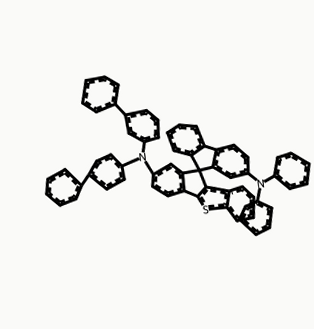 c1ccc(-c2ccc(N(c3cccc(-c4ccccc4)c3)c3ccc4c(c3)C3(c5ccccc5-c5ccc(N(c6ccccc6)c6ccccc6)cc53)c3c-4sc4ccccc34)cc2)cc1